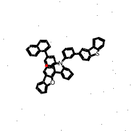 c1cc(-c2ccc3sc4ccccc4c3c2)cc(N(c2cccc(-c3cccc4ccccc34)c2)c2ccccc2-c2cccc3c2oc2ccccc23)c1